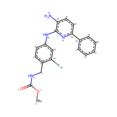 CC(C)(C)OC(=O)NCc1ccc(Nc2nc(-c3ccccc3)ccc2N)cc1F